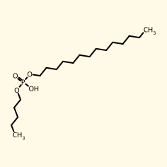 CCCCCCCCCCCCCCOP(=O)(O)OCCCCC